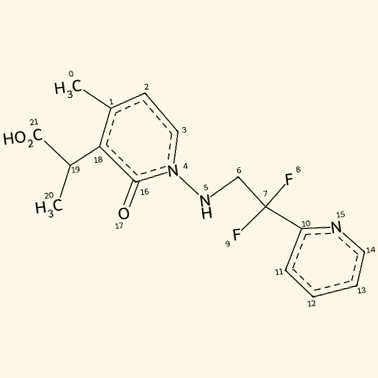 Cc1ccn(NCC(F)(F)c2ccccn2)c(=O)c1C(C)C(=O)O